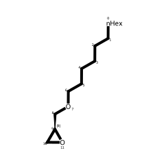 CCCCCCCCCCCCOC[C@@H]1CO1